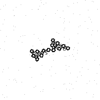 c1ccc2c(c1)B(n1c3cccc(-c4ccc5c(c4)sc4c5ccc5c4c4cccc6c4n5-c4ccccc4B6n4c5ccccc5c5ccc6c7ccccc7oc6c54)c3c3ccc4c5ccccc5oc4c31)c1cccc3c4c5oc6ccccc6c5ccc4n-2c13